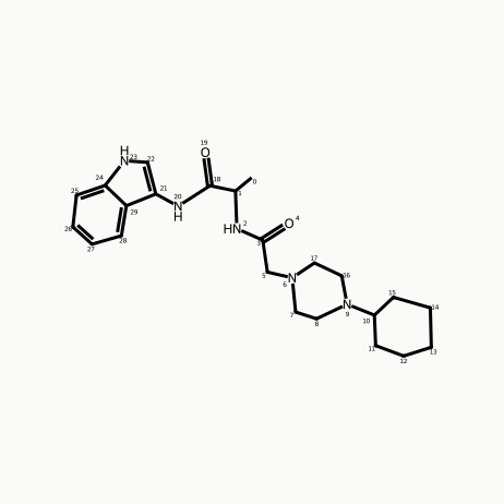 CC(NC(=O)CN1CCN(C2CCCCC2)CC1)C(=O)Nc1c[nH]c2ccccc12